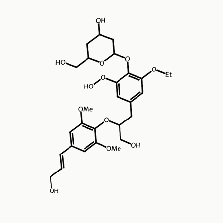 CCOc1cc(CC(CO)Oc2c(OC)cc(/C=C/CO)cc2OC)cc(OO)c1OC1CC(O)CC(CO)O1